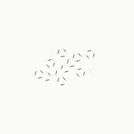 C[Si](C)(C)c1cccc(-c2c3ccc(-c4ccccc4)cc3c(-c3cccc([Si](C)(C)C)c3)c3cc4c(cc23)c(-c2ccccc2)c(-c2ccc3ccccc3c2)c2ccccc24)c1